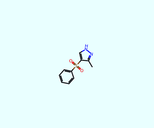 Cc1n[nH]cc1S(=O)(=O)c1ccccc1